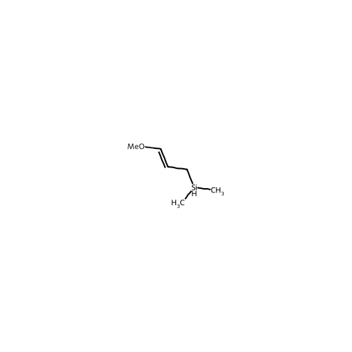 COC=CC[SiH](C)C